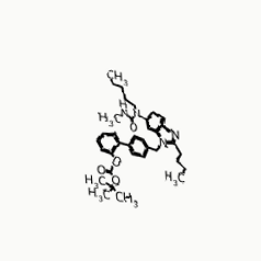 CCCCCN(C(=O)NC)c1ccc2nc(CCCC)n(Cc3ccc(-c4ccccc4OC(=O)OC(C)(C)C)cc3)c2c1